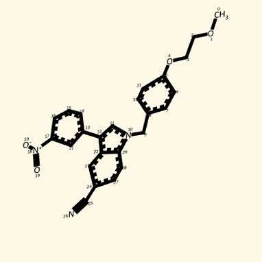 COCCOc1ccc(Cn2cc(-c3cccc([N+](=O)[O-])c3)c3cc(C#N)ccc32)cc1